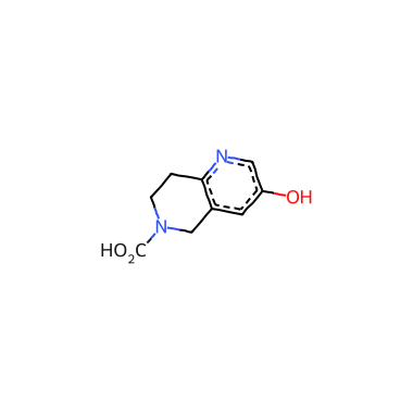 O=C(O)N1CCc2ncc(O)cc2C1